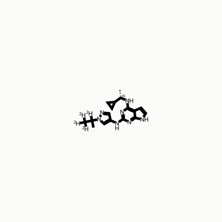 [2H]C([2H])([2H])C([2H])(C)n1cc(Nc2nc(N[C@@H](C)C3CC3)c3cc[nH]c3n2)cn1